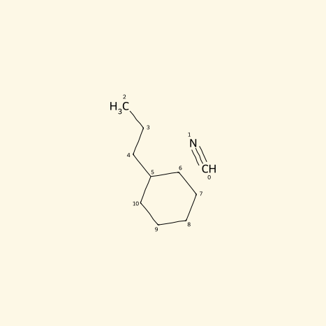 C#N.CCCC1CCCCC1